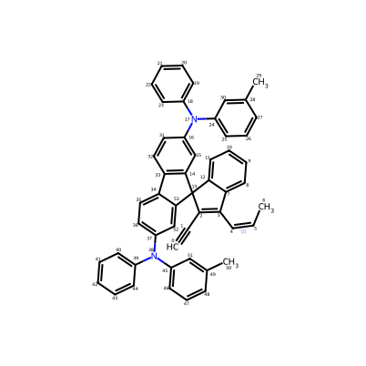 C#CC1=C(/C=C\C)c2ccccc2C12c1cc(N(c3ccccc3)c3cccc(C)c3)ccc1-c1ccc(N(c3ccccc3)c3cccc(C)c3)cc12